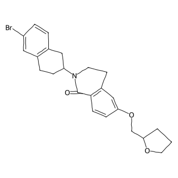 O=C1c2ccc(OCC3CCCO3)cc2CCN1C1CCc2cc(Br)ccc2C1